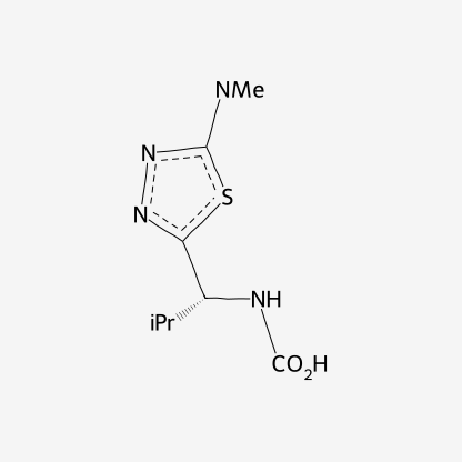 CNc1nnc([C@H](NC(=O)O)C(C)C)s1